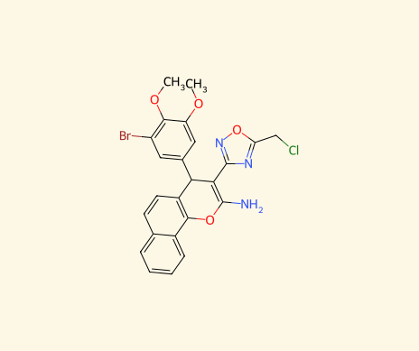 COc1cc(C2C(c3noc(CCl)n3)=C(N)Oc3c2ccc2ccccc32)cc(Br)c1OC